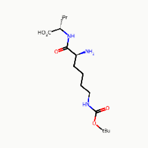 CC(C)[C@H](NC(=O)[C@@H](N)CCCCNC(=O)OC(C)(C)C)C(=O)O